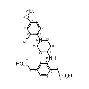 CCOC(=O)Cc1ccc(CC(=O)O)cc1NC1CCN(c2ccc(OCC)cc2F)CC1